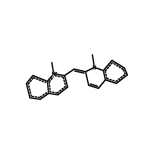 CN1/C(=C/c2ccc3ccccc3[n+]2C)C=Cc2ccccc21